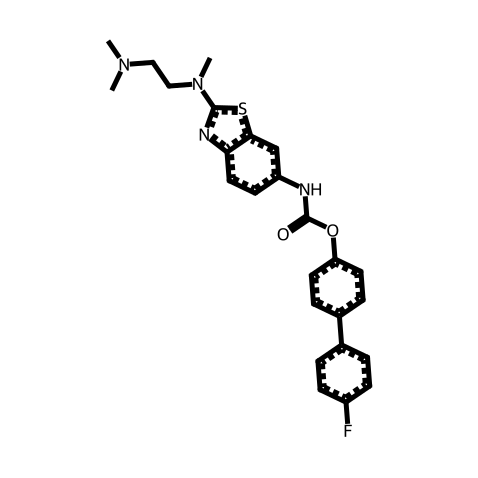 CN(C)CCN(C)c1nc2ccc(NC(=O)Oc3ccc(-c4ccc(F)cc4)cc3)cc2s1